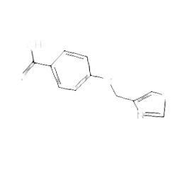 O=C(O)c1ccc(OCc2cscn2)cc1